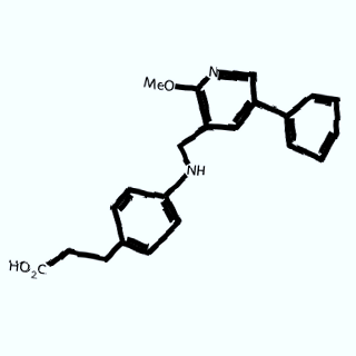 COc1ncc(-c2ccccc2)cc1CNc1ccc(CCC(=O)O)cc1